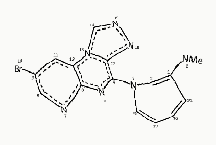 CNC1=CN(c2nc3ncc(Br)cc3n3cnnc23)C=CC=C1